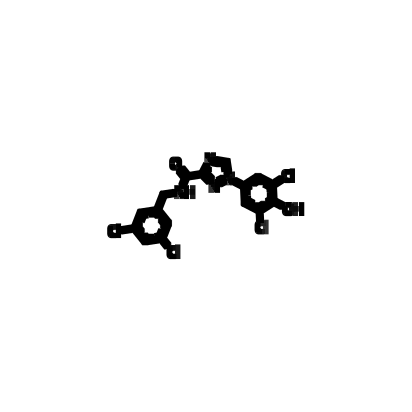 O=C(NCc1cc(Cl)cc(Cl)c1)c1ncn(-c2cc(Cl)c(O)c(Cl)c2)n1